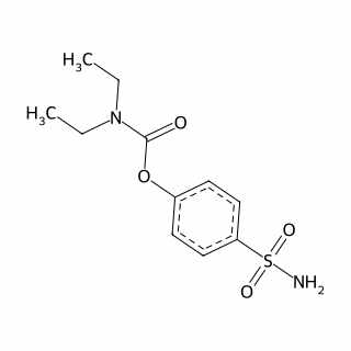 CCN(CC)C(=O)Oc1ccc(S(N)(=O)=O)cc1